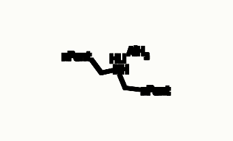 CCCCCCNCCCCCC.[AlH3].[LiH]